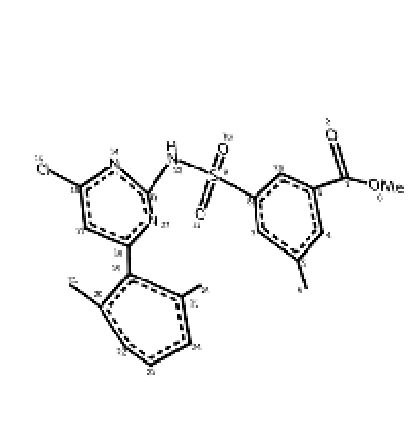 COC(=O)c1cc(C)cc(S(=O)(=O)Nc2nc(Cl)cc(-c3c(C)cccc3C)n2)c1